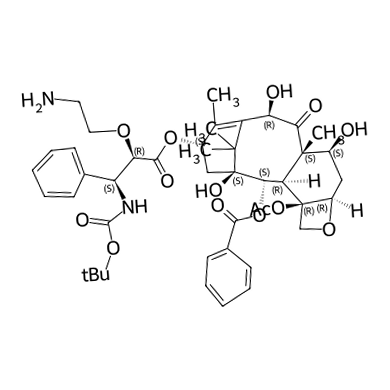 CC(=O)O[C@]12CO[C@@H]1C[C@H](O)[C@@]1(C)C(=O)[C@H](O)C3=C(C)[C@@H](OC(=O)[C@H](OCCN)[C@@H](NC(=O)OC(C)(C)C)c4ccccc4)C[C@@](O)([C@@H](OC(=O)c4ccccc4)[C@H]21)C3(C)C